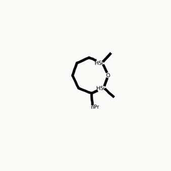 CCCC1CCCC[SiH](C)O[SiH]1C